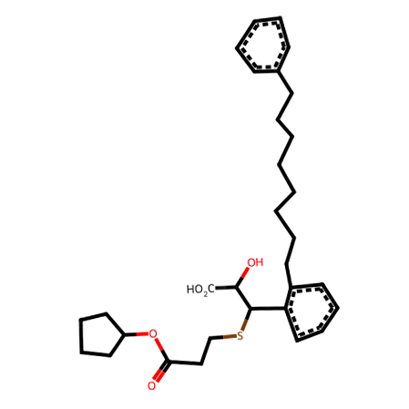 O=C(CCSC(c1ccccc1CCCCCCCCc1ccccc1)C(O)C(=O)O)OC1CCCC1